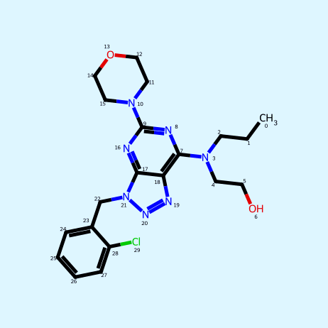 CCCN(CCO)c1nc(N2CCOCC2)nc2c1nnn2Cc1ccccc1Cl